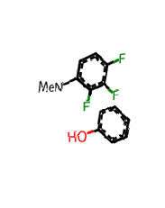 CNc1ccc(F)c(F)c1F.Oc1ccccc1